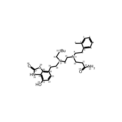 Cc1ccccc1CCN(CCC(N)=O)CCN(CCc1ccc(O)c2[nH]c(=O)sc12)CC(C)(C)C